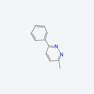 Cc1ccc(-c2cc[c]cc2)nn1